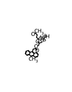 [3H]PSOCC(COC(=O)Cc1c2ccccc2c(C)c2ccccc12)OC(=O)CCC(C)=O